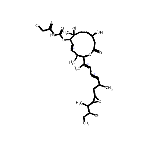 CCC(O)C(C)C1OC1CC(C)/C=C/C=C(\C)C1OC(=O)CC(O)CCC(C)(O)C(OC(=O)NC(=O)CCl)/C=C/C1C